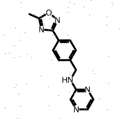 Cc1nc(-c2ccc(CNc3cnccn3)cc2)no1